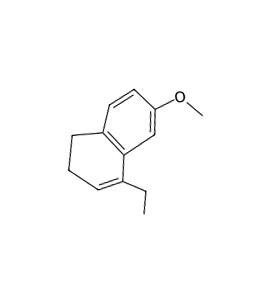 CCC1=CCCc2ccc(OC)cc21